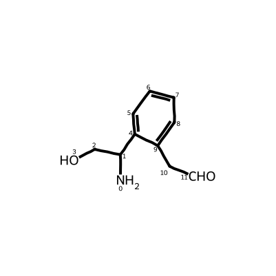 NC(CO)c1ccccc1CC=O